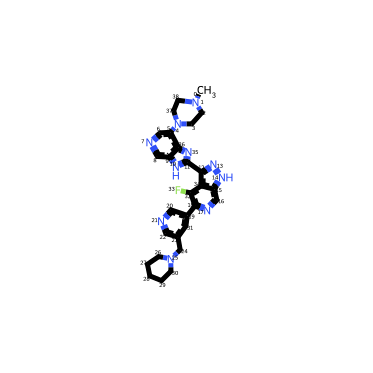 CN1CCN(c2cncc3[nH]c(-c4n[nH]c5cnc(-c6cncc(CN7CCCCC7)c6)c(F)c45)nc23)CC1